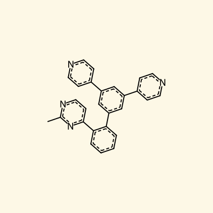 Cc1nccc(-c2ccccc2-c2cc(-c3ccncc3)cc(-c3ccncc3)c2)n1